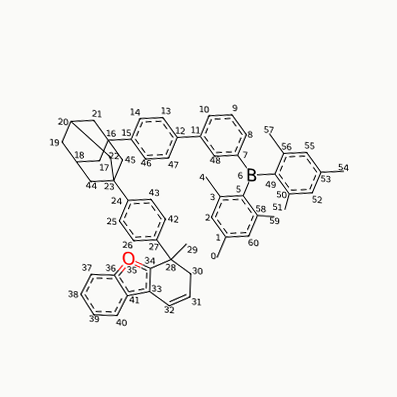 Cc1cc(C)c(B(c2cccc(-c3ccc(C45CC6CC(C4)CC(c4ccc(C7(C)CC=Cc8c7oc7ccccc87)cc4)(C6)C5)cc3)c2)c2c(C)cc(C)cc2C)c(C)c1